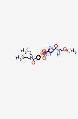 CCCCN(CCCC)C(=O)c1ccc(S(=O)(=O)NC(=O)c2ccc(C(=O)NCCOCC)nc2)cc1